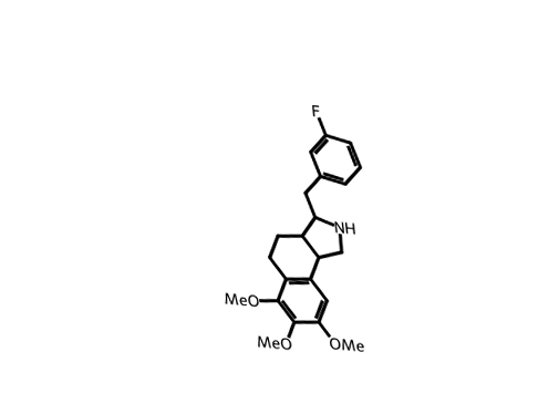 COc1cc2c(c(OC)c1OC)CCC1C(Cc3cccc(F)c3)NCC21